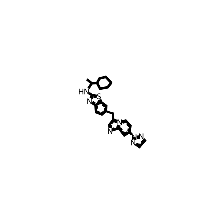 CC(Nc1nc2ccc(Cc3cnc4cc(-n5nccn5)ccn34)cc2s1)C1CCCCC1